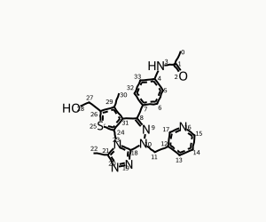 CC(=O)Nc1ccc(C2=NN(Cc3cccnc3)c3nnc(C)n3-c3sc(CO)c(C)c32)cc1